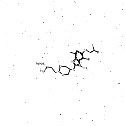 CC(=O)N[C@@H](C)CC[C@H]1OC[C@H](Oc2nc3c(F)cc(OCC(F)F)c(F)c3n2C)CO1